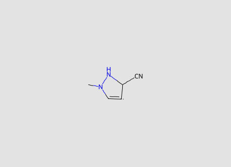 CN1C=[C]C(C#N)N1